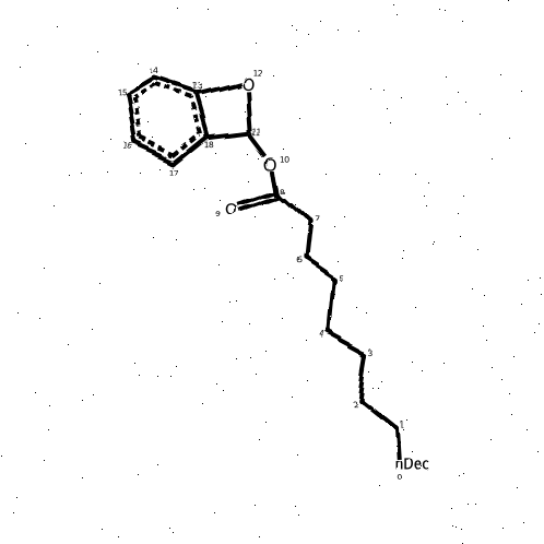 CCCCCCCCCCCCCCCCCC(=O)OC1Oc2ccccc21